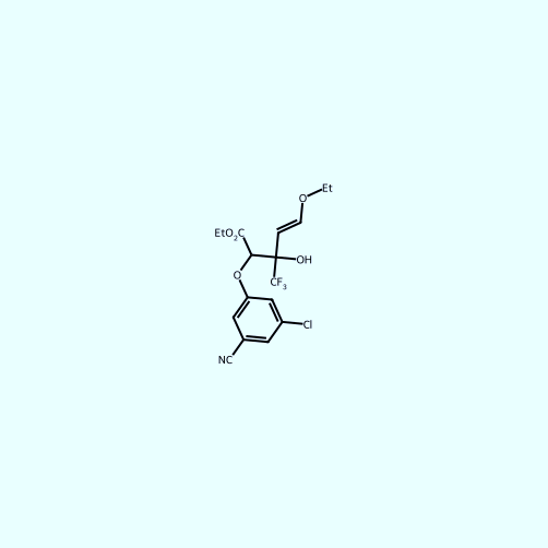 CCO/C=C/C(O)(C(Oc1cc(Cl)cc(C#N)c1)C(=O)OCC)C(F)(F)F